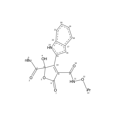 CCCCC(=O)C1(O)OC(=O)C(C(=O)NOC(C)C)=C1c1cc2ccccc2[nH]1